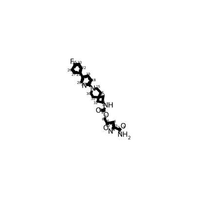 NC(=O)c1cc(COC(=O)NC2CC3(CCN(c4ccc(-c5ccc(F)cc5)cn4)CC3)C2)on1